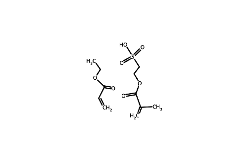 C=C(C)C(=O)OCCS(=O)(=O)O.C=CC(=O)OCC